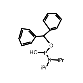 CC(C)N(C(C)C)P(O)OC(c1ccccc1)c1ccccc1